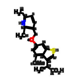 COc1cc(OCc2ccc(C)nc2C)cc2scc(C(C)C(=O)O)c12